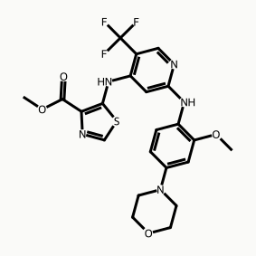 COC(=O)c1ncsc1Nc1cc(Nc2ccc(N3CCOCC3)cc2OC)ncc1C(F)(F)F